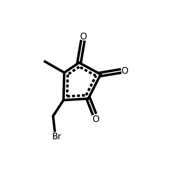 Cc1c(CBr)c(=O)c(=O)c1=O